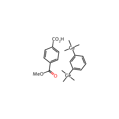 COC(=O)c1ccc(C(=O)O)cc1.[CH3][Ge]([CH3])([CH3])[c]1ccc[c]([Ge]([CH3])([CH3])[CH3])c1